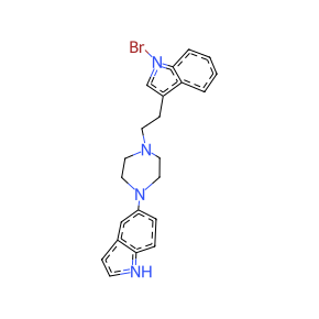 Brn1cc(CCN2CCN(c3ccc4[nH]ccc4c3)CC2)c2ccccc21